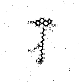 CCOC(=O)C(CCCCCCCC[C@H]1C[C@@]2(C)C(CC[C@@H]2O)C2CCc3cc(O)ccc3C21)CCCCCC(F)(F)C(F)(F)F